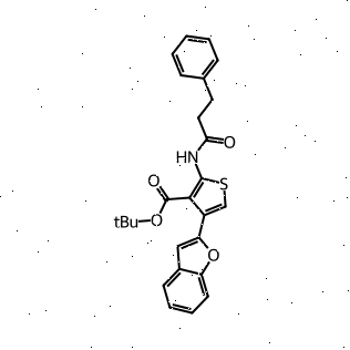 CC(C)(C)OC(=O)c1c(-c2cc3ccccc3o2)csc1NC(=O)CCc1ccccc1